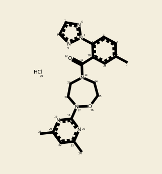 Cc1ccc(-n2nccn2)c(C(=O)N2CCON(c3nc(C)cc(C)n3)CC2)c1.Cl